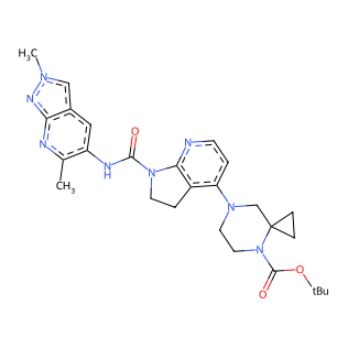 Cc1nc2nn(C)cc2cc1NC(=O)N1CCc2c(N3CCN(C(=O)OC(C)(C)C)C4(CC4)C3)ccnc21